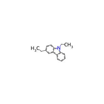 CCc1ccc2c(c1)c1ccccc1n2CC